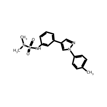 Cc1ccc(-n2cc(-c3cccc(NS(=O)(=O)N(C)C)c3)cn2)cc1